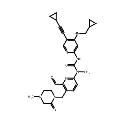 CN1CCN(Cc2ccc(N(C)C(=O)Nc3cc(NCC4CC4)c(C#CC4CC4)cn3)nc2C=O)C(=O)C1